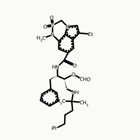 CCc1cn2c3c(cc(C(=O)N[C@@H](Cc4ccccc4)[C@@H](CNC(C)(C)CCCC(C)C)OC=O)cc13)N(C)S(=O)(=O)C2